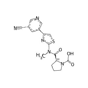 CN(C(=O)[C@@H]1CCCN1C(=O)O)c1nc(-c2cncc(C#N)c2)cs1